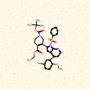 CCOC(=O)C1=C(c2cc3c(-c4cc(F)ccc4OC)ccnc3n2S(=O)(=O)c2ccccc2)CN(C(=O)OC(C)(C)C)CC1